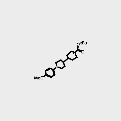 COc1ccc(N2CCC(C3CCN(C(=O)OC(C)(C)C)CC3)CC2)cc1